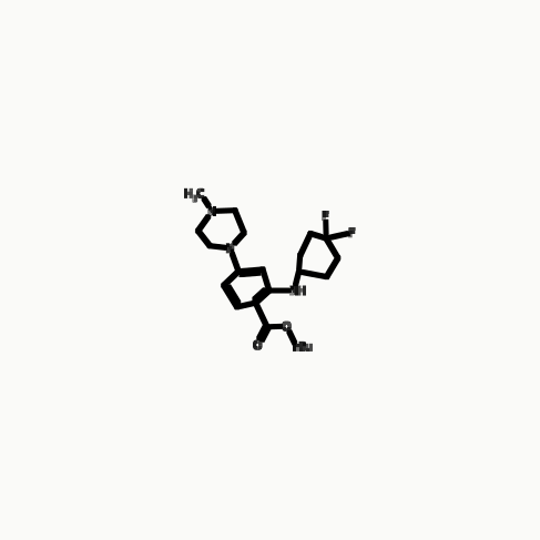 CCCCOC(=O)c1ccc(N2CCN(C)CC2)cc1NC1CCC(F)(F)CC1